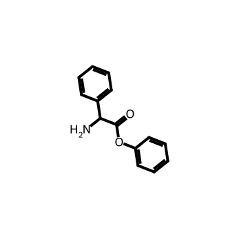 NC(C(=O)Oc1ccccc1)c1ccccc1